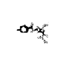 Cc1ccc(C(=O)Nc2nc3c(s2)c(C(=O)NC(C)C)cn3C(C)(C)C)cc1